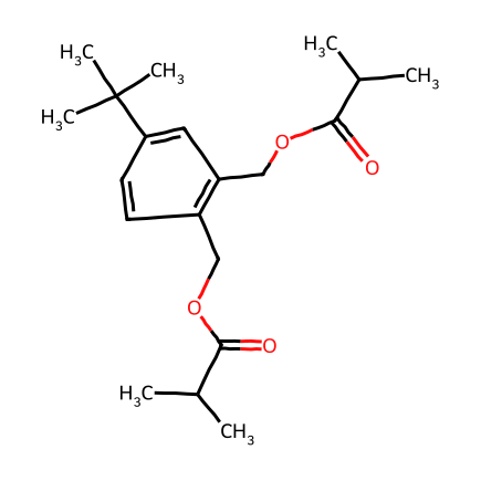 CC(C)C(=O)OCc1ccc(C(C)(C)C)cc1COC(=O)C(C)C